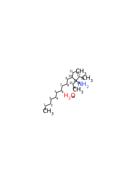 CCCCCCCCCCC(CC)C(N)(CC)CC.O